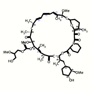 COC(CO)COC(=O)O[C@@H]1/C(C)=C/[C@@H](C)C(=O)C[C@@H]([C@H](C)C[C@@H]2CC[C@@H](O)[C@H](OC)C2)OC(=O)C2CCCCN2C(=O)C(=O)[C@]2(O)OC(CC[C@H]2C)C[C@H](OC)/C(C)=C/C=C/C=C/[C@@H](C)C[C@@H](C)C(=O)[C@@H]1OC